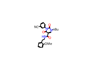 CCCCn1cc(C(=O)NCCc2ccccc2OC)c(=O)n(-c2cccc(C#N)c2)c1=O